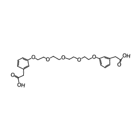 O=C(O)Cc1cccc(OCCOCCOCCOCCOc2cccc(CC(=O)O)c2)c1